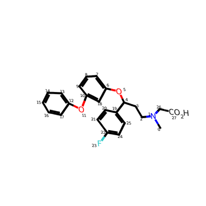 CN(CCC(Oc1cccc(Oc2ccccc2)c1)c1ccc(F)cc1)CC(=O)O